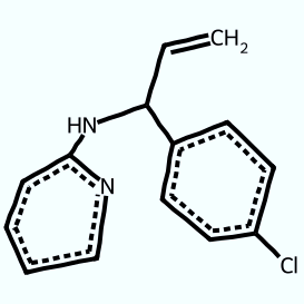 C=CC(Nc1ccccn1)c1ccc(Cl)cc1